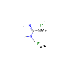 CN=C(NC)N(C)C.[Al+3].[F-].[F-].[F-]